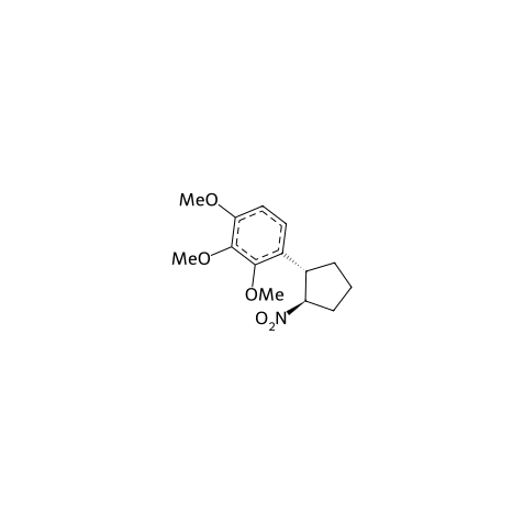 COc1ccc([C@@H]2CCC[C@H]2[N+](=O)[O-])c(OC)c1OC